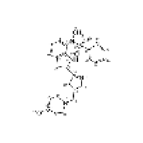 CN(c1cccc2c1NC(C1=NCC(CN3CC[S+]([O-])CC3)S1)C2)S(=O)(=O)c1ccccn1